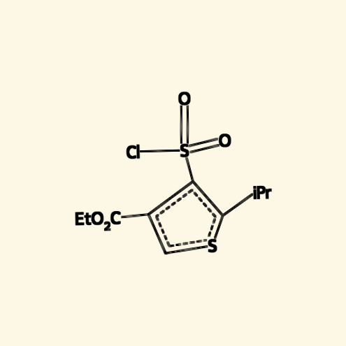 CCOC(=O)c1csc(C(C)C)c1S(=O)(=O)Cl